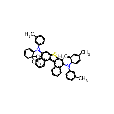 C=C1C=C(C)C=CC1N(c1cccc(C)c1)c1cc2sc3cc(N(C4=CC=CCC4(C)C)c4cccc(C)c4)c4ccccc4c3c2c2ccccc12